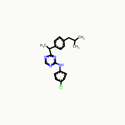 CC(C)Cc1ccc(C(C)c2ncnc(Nc3ccc(Cl)cc3)n2)cc1